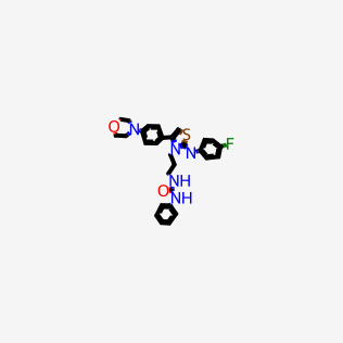 O=C(NCCCn1c(-c2ccc(N3CCOCC3)cc2)cs/c1=N\c1ccc(F)cc1)Nc1ccccc1